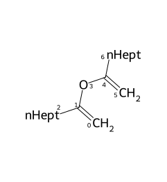 C=C(CCCCCCC)OC(=C)CCCCCCC